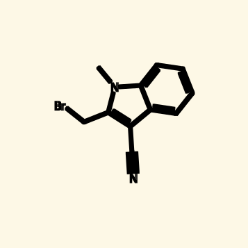 Cn1c(CBr)c(C#N)c2ccccc21